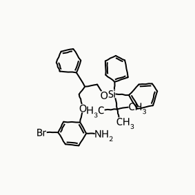 CC(C)(C)[Si](OCC(COc1cc(Br)ccc1N)c1ccccc1)(c1ccccc1)c1ccccc1